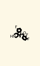 CC1N(C(=O)c2cccc(F)c2F)c2ccc(F)cc2C12CCNCC2